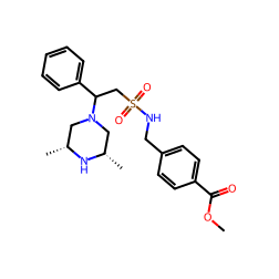 COC(=O)c1ccc(CNS(=O)(=O)CC(c2ccccc2)N2C[C@@H](C)N[C@@H](C)C2)cc1